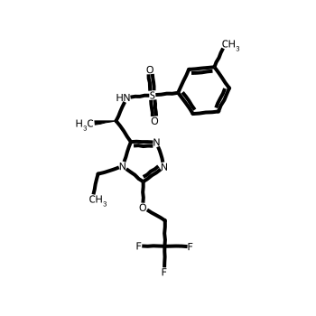 CCn1c(OCC(F)(F)F)nnc1[C@@H](C)NS(=O)(=O)c1cccc(C)c1